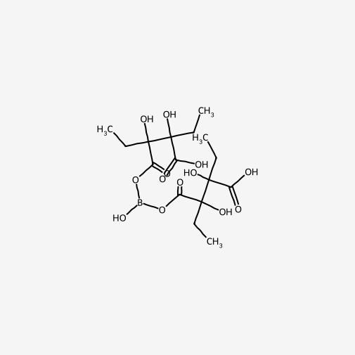 CCC(O)(C(=O)O)C(O)(CC)C(=O)OB(O)OC(=O)C(O)(CC)C(O)(CC)C(=O)O